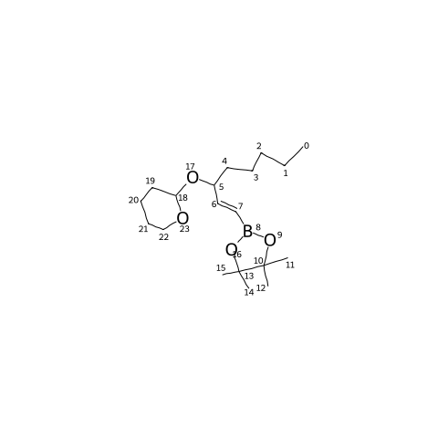 CCCCCC(C=CB1OC(C)(C)C(C)(C)O1)OC1CCCCO1